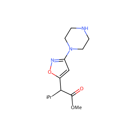 COC(=O)C(c1cc(N2CCNCC2)no1)C(C)C